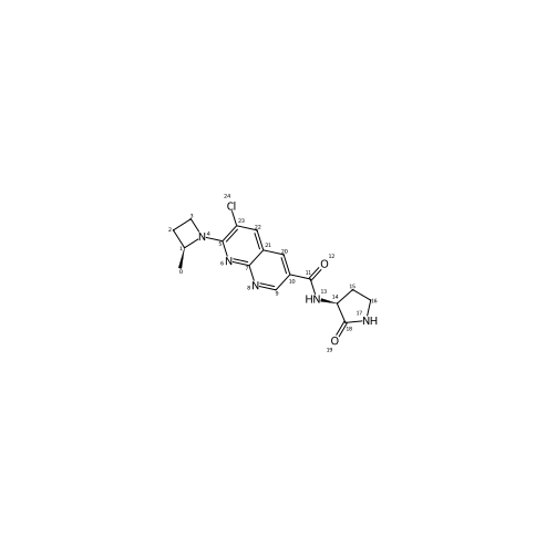 C[C@H]1CCN1c1nc2ncc(C(=O)N[C@H]3CCNC3=O)cc2cc1Cl